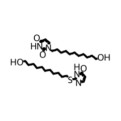 O=c1ccn(CCCCCCCCCCCO)c(=O)[nH]1.O=c1ccnc(SCCCCCCCCCCCO)[nH]1